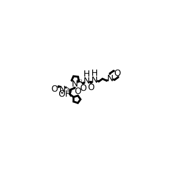 O=CN(O)C[C@@H](CC1CCCC1)C(=O)N1CCC[C@H]1C(=O)NC(=O)NCCCN1CCOCC1